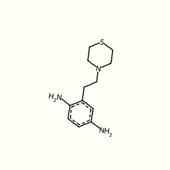 Nc1ccc(N)c(CCN2CCSCC2)c1